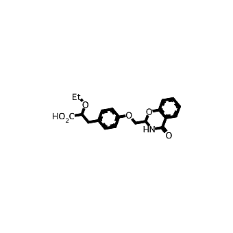 CCOC(Cc1ccc(OCC2NC(=O)c3ccccc3O2)cc1)C(=O)O